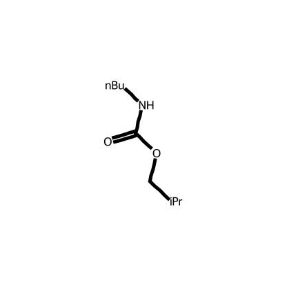 [CH2]C(C)COC(=O)NCCCC